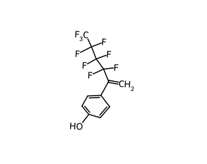 C=C(c1ccc(O)cc1)C(F)(F)C(F)(F)C(F)(F)C(F)(F)F